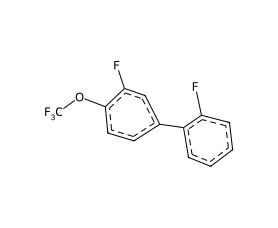 Fc1cc(-c2ccccc2F)ccc1OC(F)(F)F